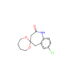 O=C1CC2(Cc3cc(Cl)ccc3N1)OCCCCO2